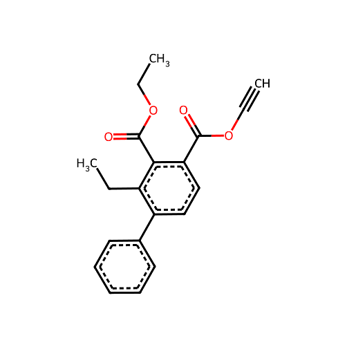 C#COC(=O)c1ccc(-c2ccccc2)c(CC)c1C(=O)OCC